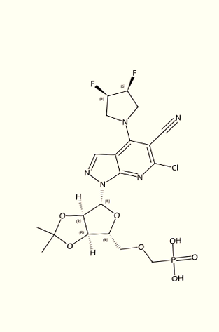 CC1(C)O[C@@H]2[C@H](O1)[C@@H](COCP(=O)(O)O)O[C@H]2n1ncc2c(N3C[C@@H](F)[C@@H](F)C3)c(C#N)c(Cl)nc21